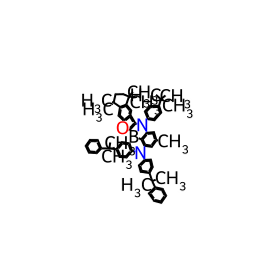 Cc1cc2c3c(c1)N(c1ccc(C(C)(C)C)cc1)c1c(oc4cc5c(cc14)C(C)(C)CCC5(C)C)B3c1cc(C(C)(C)c3ccccc3)ccc1N2c1ccc(C(C)(C)c2ccccc2)cc1